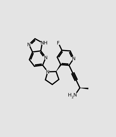 C[C@@H](N)C#Cc1ncc(F)cc1[C@H]1CCCN1c1ccc2nc[nH]c2n1